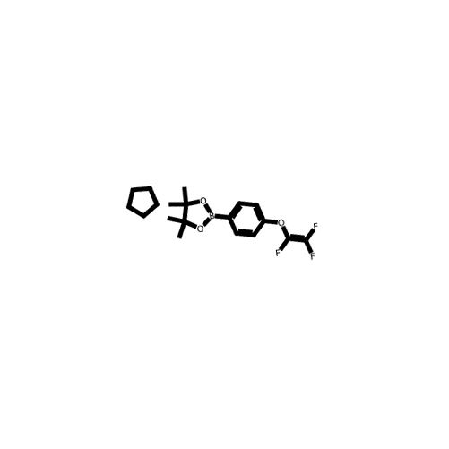 C1CCCC1.CC1(C)OB(c2ccc(OC(F)=C(F)F)cc2)OC1(C)C